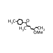 C=C/C(=C\C=C(/C)C(=O)c1ccc(C)cc1)OC